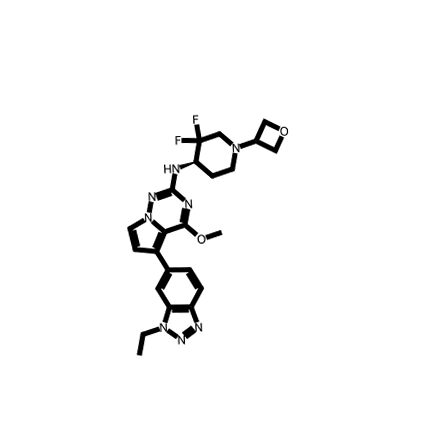 CCn1nnc2ccc(-c3ccn4nc(N[C@@H]5CCN(C6COC6)CC5(F)F)nc(OC)c34)cc21